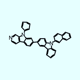 c1ccc(-n2c3cnccc3c3ccc(-c4ccc5c(c4)c4ccccc4n5-c4ccc5ccccc5c4)cc32)cc1